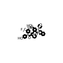 CSc1ccc(N(C(=O)c2cc(-c3cc(Cl)ccc3C(=O)N3Cc4ccccc4C[C@H]3CN3CCOCC3)n3c2CCCC3)c2ccc(O)cc2)cc1C(F)(F)F.Cl